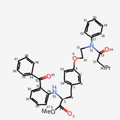 COC(=O)[C@H](Cc1ccc(OCCN(C(=O)CC(C)C)c2ccccc2)cc1)Nc1ccccc1C(=O)c1ccccc1